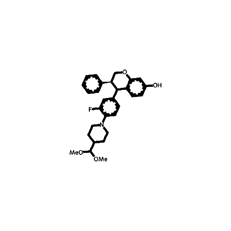 COC(OC)C1CCN(c2ccc(C3c4ccc(O)cc4OC[C@@H]3c3ccccc3)cc2F)CC1